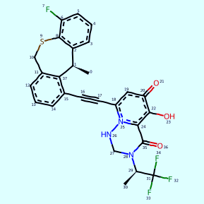 C[C@@H]1c2cccc(F)c2SCc2cccc(C#Cc3cc(=O)c(O)c4n3NCN([C@H](C)C(F)(F)F)C4=O)c21